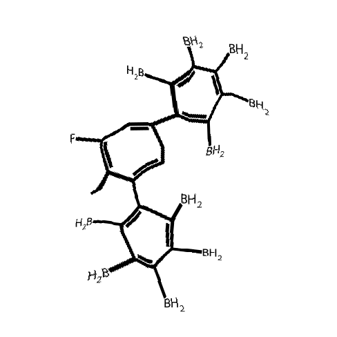 Bc1c(B)c(B)c(-c2cc(F)c(C)c(-c3c(B)c(B)c(B)c(B)c3B)c2)c(B)c1B